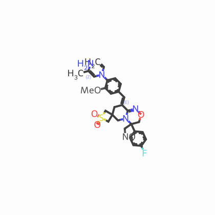 C=CN(/C=C(/C)N)c1ccc(/C=C2\CC3(CN4C2=NOCC4(CN=O)c2ccc(F)cc2)CS(=O)(=O)C3)cc1OC